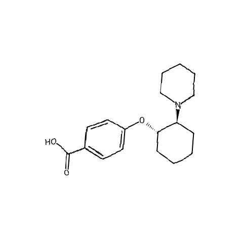 O=C(O)c1ccc(O[C@H]2CCCC[C@@H]2N2CCCCC2)cc1